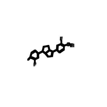 CCOc1ccc(C2=CCC3C2CCC3c2ccc(C)c(F)c2)cc1F